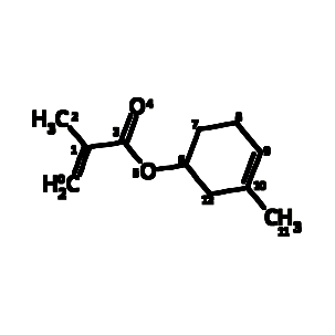 C=C(C)C(=O)OC1CCC=C(C)C1